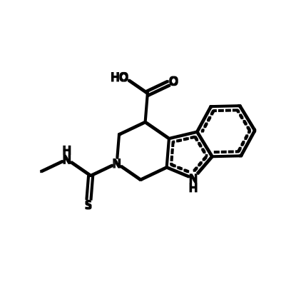 CNC(=S)N1Cc2[nH]c3ccccc3c2C(C(=O)O)C1